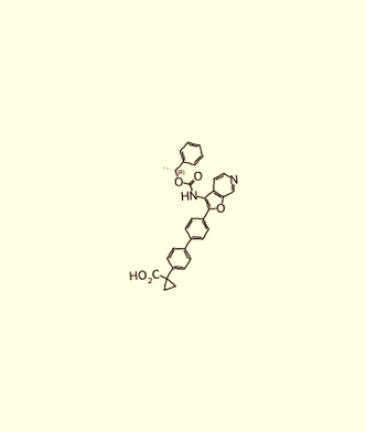 C[C@@H](OC(=O)Nc1c(-c2ccc(-c3ccc(C4(C(=O)O)CC4)cc3)cc2)oc2cnccc12)c1ccccc1